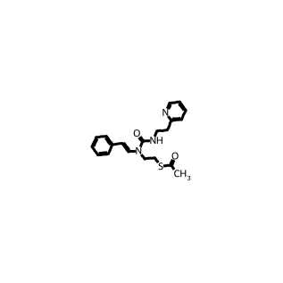 CC(=O)SCCN(C=Cc1ccccc1)C(=O)NCCc1ccccn1